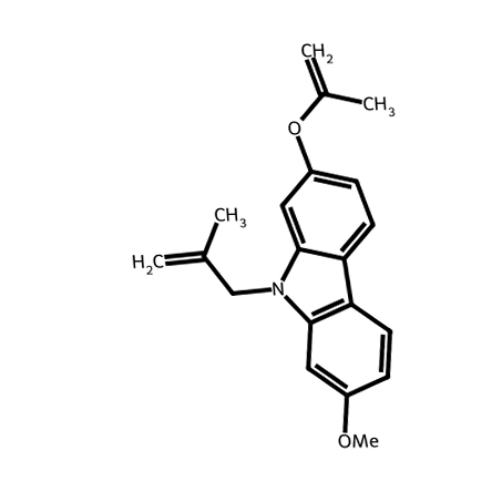 C=C(C)Cn1c2cc(OC)ccc2c2ccc(OC(=C)C)cc21